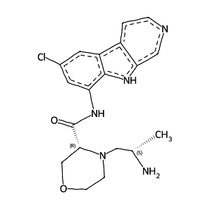 C[C@H](N)CN1CCOC[C@@H]1C(=O)Nc1cc(Cl)cc2c1[nH]c1cnccc12